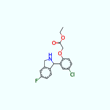 CCOC(=O)COc1ccc(Cl)cc1C1NCc2cc(F)ccc21